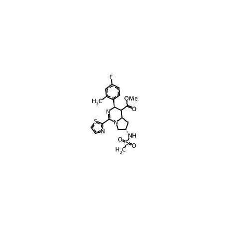 COC(=O)C1C2C[C@H](NS(C)(=O)=O)CN2C(c2nccs2)=N[C@H]1c1ccc(F)cc1C